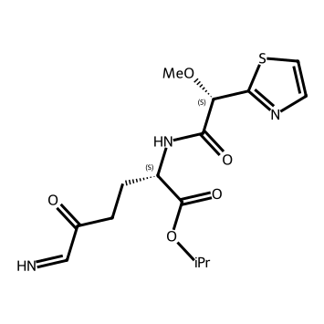 CO[C@@H](C(=O)N[C@@H](CCC(=O)C=N)C(=O)OC(C)C)c1nccs1